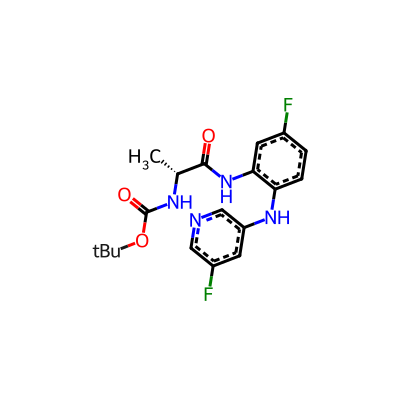 C[C@@H](NC(=O)OC(C)(C)C)C(=O)Nc1cc(F)ccc1Nc1cncc(F)c1